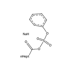 CCCCCCCC(=O)OS(=O)(=O)Oc1ccccc1.[NaH]